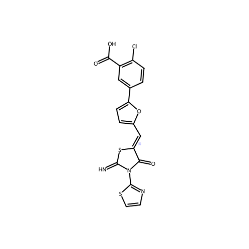 N=C1S/C(=C\c2ccc(-c3ccc(Cl)c(C(=O)O)c3)o2)C(=O)N1c1nccs1